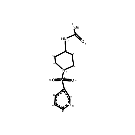 CCCCC(=O)NC1CCN(S(=O)(=O)c2cccnc2)CC1